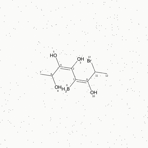 BC(/C(O)=C(/O)C(C)O)=C(\O)C(C)Br